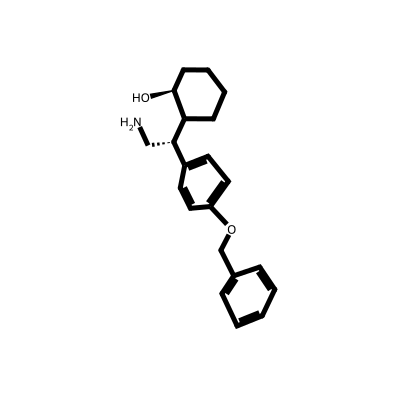 NC[C@@H](c1ccc(OCc2ccccc2)cc1)C1CCCC[C@@H]1O